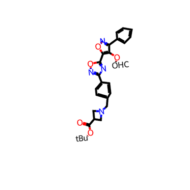 CC(C)(C)OC(=O)C1CN(Cc2ccc(-c3noc(-c4onc(-c5ccccc5)c4OC=O)n3)cc2)C1